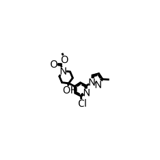 COC(=O)N1CCC(O)(c2cc(Cl)nc(-n3ccc(C)n3)c2)CC1